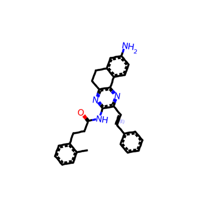 Cc1ccccc1CCC(=O)Nc1nc2c(nc1/C=C/c1ccccc1)-c1ccc(N)cc1CC2